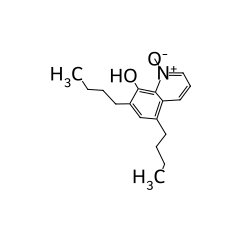 CCCCc1cc(CCCC)c2ccc[n+]([O-])c2c1O